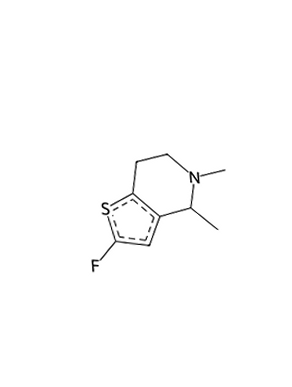 CC1c2cc(F)sc2CCN1C